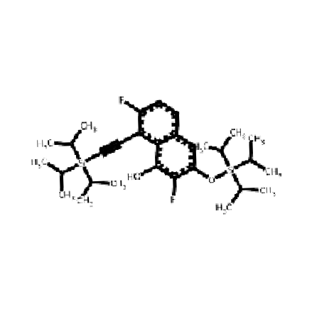 CC(C)[Si](C#Cc1c(F)ccc2cc(O[Si](C(C)C)(C(C)C)C(C)C)c(F)c(O)c12)(C(C)C)C(C)C